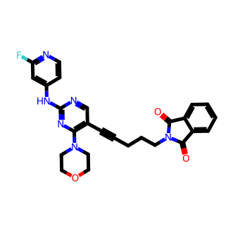 O=C1c2ccccc2C(=O)N1CCCC#Cc1cnc(Nc2ccnc(F)c2)nc1N1CCOCC1